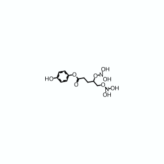 O=C(CCC(CON(O)O)ON(O)O)Oc1ccc(O)cc1